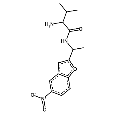 CC(NC(=O)C(N)C(C)C)c1cc2cc([N+](=O)[O-])ccc2o1